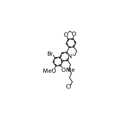 COc1cc(Br)c2cc3[n+](c(CCCCCCl)c2c1OC)CCc1cc2c(cc1-3)OCO2